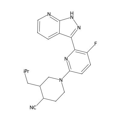 CC(C)CC1CN(c2ccc(F)c(-c3n[nH]c4ncccc34)n2)CCC1C#N